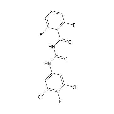 O=C(NC(=O)c1c(F)cccc1F)Nc1cc(Cl)c(F)c(Cl)c1